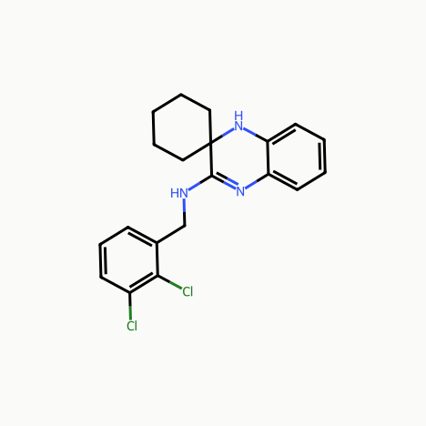 Clc1cccc(CNC2=Nc3ccccc3NC23CCCCC3)c1Cl